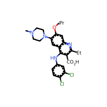 CCc1nc2cc(OC(C)C)c(N3CCN(C)CC3)cc2c(Nc2ccc(Cl)c(Cl)c2)c1C(=O)O